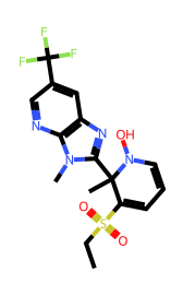 CCS(=O)(=O)C1=CC=CN(O)C1(C)c1nc2cc(C(F)(F)F)cnc2n1C